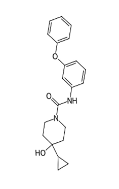 O=C(Nc1cccc(Oc2ccccc2)c1)N1CCC(O)(C2CC2)CC1